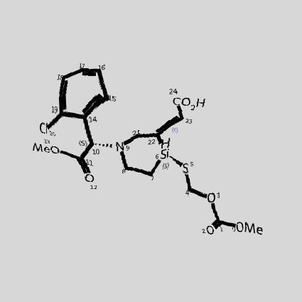 COC(=O)OCS[Si@H]1CCN([C@H](C(=O)OC)c2ccccc2Cl)C/C1=C\C(=O)O